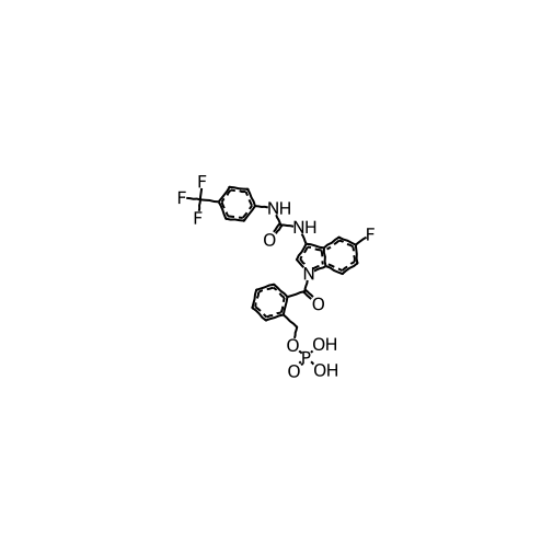 O=C(Nc1ccc(C(F)(F)F)cc1)Nc1cn(C(=O)c2ccccc2COP(=O)(O)O)c2ccc(F)cc12